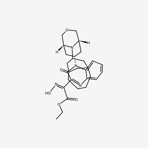 CCOC(=O)/C(=N\O)c1nc2ccccc2n([C@H]2C[C@H]3COC[C@@H](C2)N3C2CC3CCCCC(C3)C2)c1=O